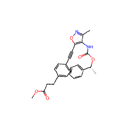 COC(=O)CCc1ccc(C#Cc2onc(C)c2NC(=O)O[C@H](C)c2ccccc2)cc1